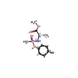 COC(=O)[C@H](C)NP(C)(=O)Oc1ccc(Br)cc1